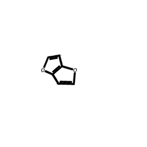 [c]1coc2[c]coc12